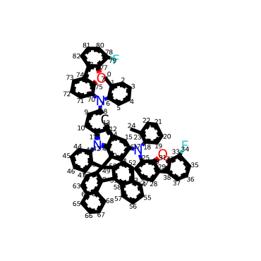 Cc1ccccc1N(c1ccc2c(c1)c1cc(N(c3ccccc3C)c3cccc4c3oc3c(F)cccc34)cc3c1n2-c1ccccc1C31c2ccc3ccccc3c2-c2c1ccc1ccccc21)c1cccc2c1oc1c(F)cccc12